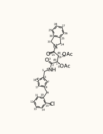 CC(=O)O[C@@H](C(=O)NCc1cc(Cc2ccccc2Cl)cs1)[C@@H](OC(C)=O)C(=O)N1Cc2ccccc2C1